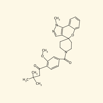 COc1cc(C(=O)N2CCC3(CC2)Oc2ccccc2-c2c3cnn2C)ccc1C(=O)CC(C)(C)C